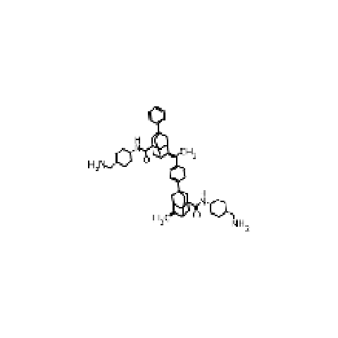 C=C1C2CC3(C(=O)N[C@H]4CC[C@H](CN)CC4)CC1CC(c1ccc(C(C)=C4C5CC6(C(=O)N[C@H]7CC[C@H](CN)CC7)CC4CC(c4ccccc4)(C5)C6)cc1)(C2)C3